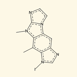 Cc1c2c(cc3c1n(C)c1nccn31)ncn2I